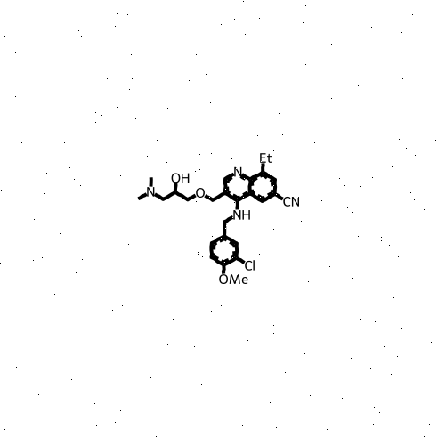 CCc1cc(C#N)cc2c(NCc3ccc(OC)c(Cl)c3)c(COCC(O)CN(C)C)cnc12